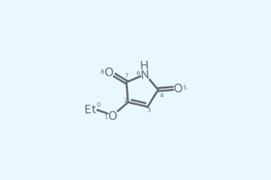 CCOC1=CC(=O)NC1=O